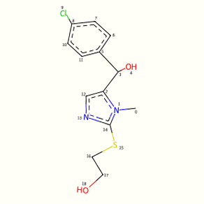 Cn1c(C(O)c2ccc(Cl)cc2)cnc1SCCO